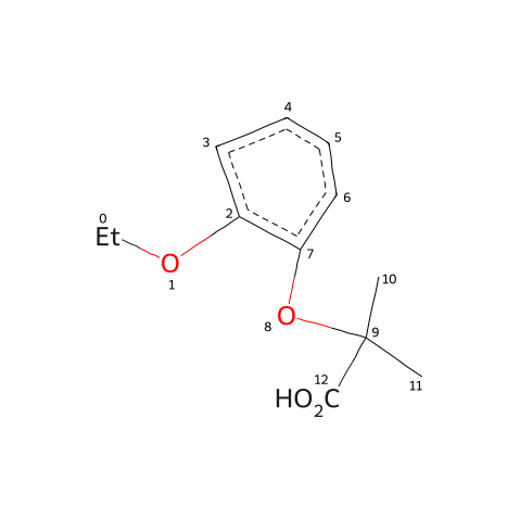 CCOc1ccccc1OC(C)(C)C(=O)O